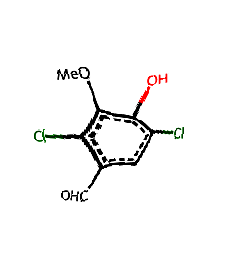 COc1c(O)c(Cl)cc(C=O)c1Cl